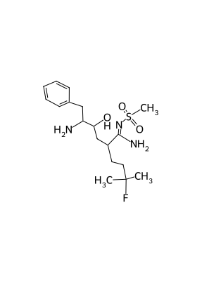 CC(C)(F)CCC(CC(O)C(N)Cc1ccccc1)C(N)=NS(C)(=O)=O